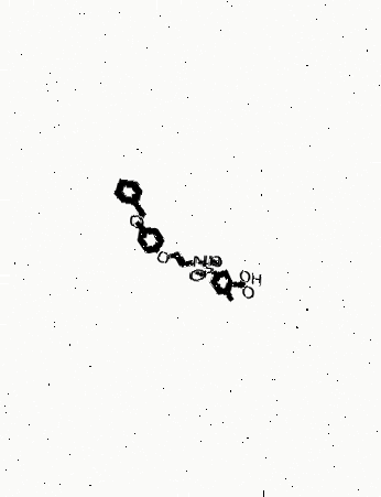 Cc1ccc(S(=O)(=O)NCCOc2ccc(OCc3ccccc3)cc2)cc1C(=O)O